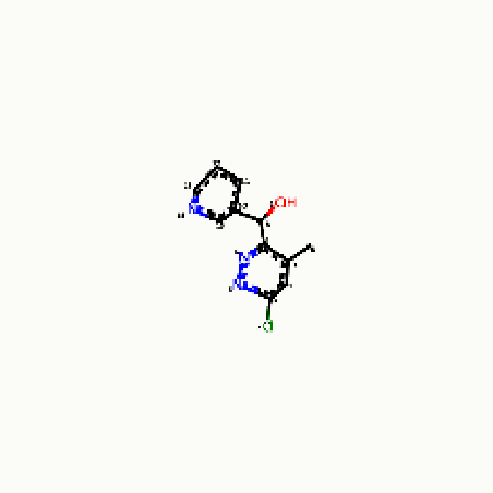 Cc1cc(Cl)nnc1C(O)c1cccnc1